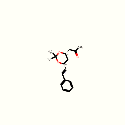 CC(=O)C[C@@H]1C[C@H](/C=C/c2ccccc2)OC(C)(C)O1